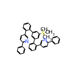 CS(C)(C)c1cc(-c2ccccc2-c2ccc(-c3ccccc3)nc2)cc(-c2ccccc2-c2ccc(-c3ccccc3)nc2)c1